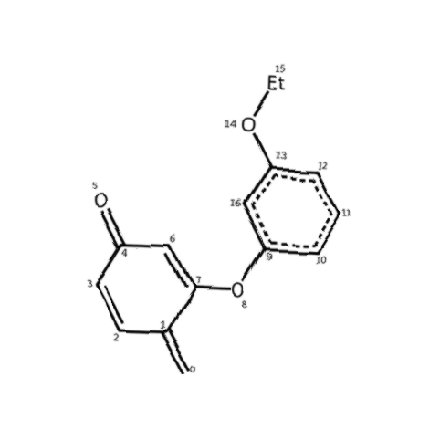 C=C1C=CC(=O)C=C1Oc1cccc(OCC)c1